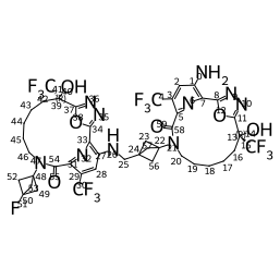 Nc1cc(C(F)(F)F)c2nc1-c1nnc(o1)[C@@](O)(C(F)(F)F)CCCCCN(C13CC(CNc4cc(C(F)(F)F)c5nc4-c4nnc(o4)[C@@](O)(C(F)(F)F)CCCCCN(C46CC(F)(C4)C6)C5=O)(C1)C3)C2=O